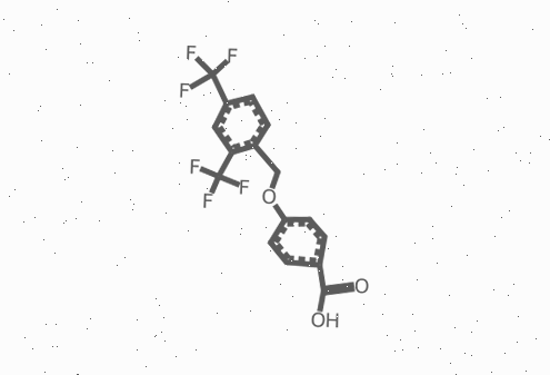 O=C(O)c1ccc(OCc2ccc(C(F)(F)F)cc2C(F)(F)F)cc1